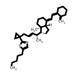 C=C1CCCC/C1=C/C=C1\CCC[C@]2(C)[C@@H]([C@H](C)/C=C/CC3(c4ncc(CCCCC)s4)CC3)CC[C@@H]12